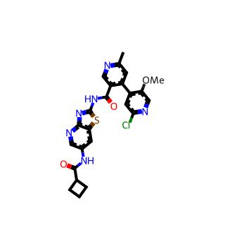 COc1cnc(Cl)cc1-c1cc(C)ncc1C(=O)Nc1nc2ncc(NC(=O)C3CCC3)cc2s1